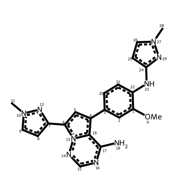 COc1cc(-c2cc(-c3ccn(C)n3)n3ncnc(N)c23)ccc1Nc1ccn(C)n1